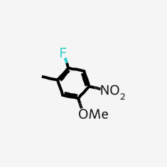 COc1cc(C)c(F)cc1[N+](=O)[O-]